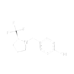 FC(F)(F)[C@@H]1CCCN1Cc1ccc(S)cc1